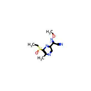 CC[S+]([O-])c1nc(/C(C#N)=N/OC)cnc1C